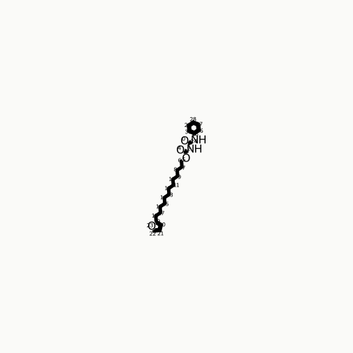 O=C(NC(=O)OCCCCCCCCCCCCCc1ccco1)Nc1ccccc1